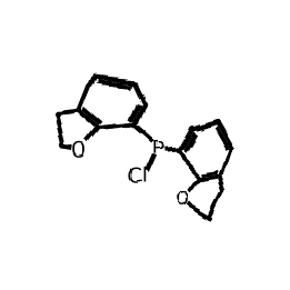 ClP(c1cccc2c1OCC2)c1cccc2c1OCC2